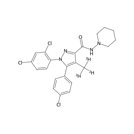 [2H]C([2H])([2H])c1c(C(=O)NN2CCCCC2)nn(-c2ccc(Cl)cc2Cl)c1-c1ccc(Cl)cc1